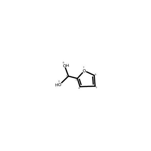 O[C](O)c1ccco1